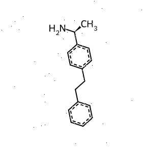 C[C@H](N)c1ccc(CCc2ccccc2)cc1